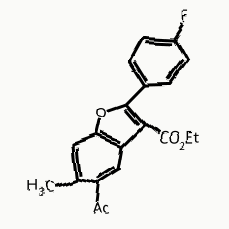 CCOC(=O)c1c(-c2ccc(F)cc2)oc2cc(C)c(C(C)=O)cc12